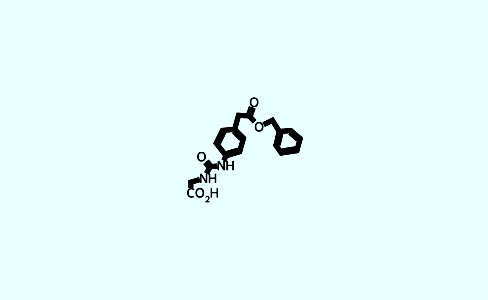 O=C(O)CNC(=O)Nc1ccc(CC(=O)OCc2ccccc2)cc1